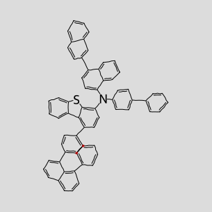 c1ccc(-c2ccc(N(c3ccc(-c4ccc5ccccc5c4)c4ccccc34)c3ccc(-c4ccc(-c5cccc6cccc(-c7ccccc7)c56)cc4)c4c3sc3ccccc34)cc2)cc1